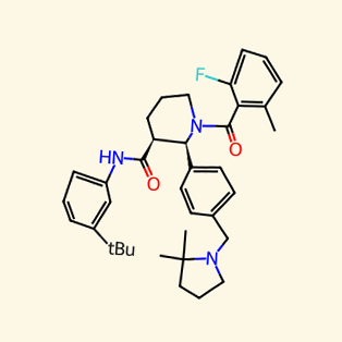 Cc1cccc(F)c1C(=O)N1CCC[C@H](C(=O)Nc2cccc(C(C)(C)C)c2)[C@@H]1c1ccc(CN2CCCC2(C)C)cc1